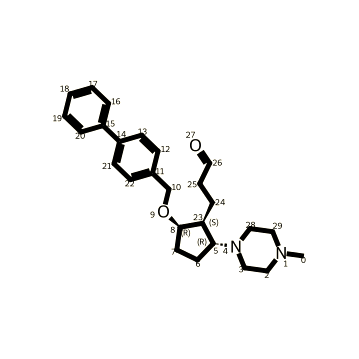 CN1CCN([C@@H]2CC[C@@H](OCc3ccc(-c4ccccc4)cc3)[C@H]2CCC=O)CC1